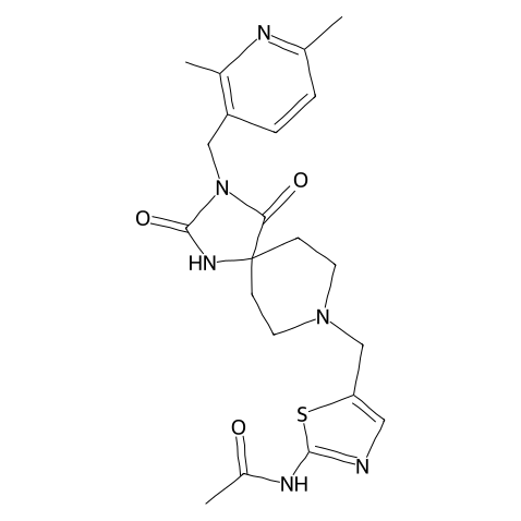 CC(=O)Nc1ncc(CN2CCC3(CC2)NC(=O)N(Cc2ccc(C)nc2C)C3=O)s1